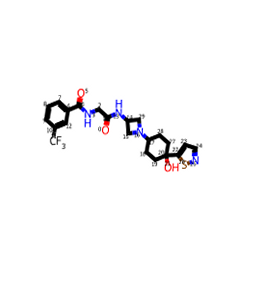 O=C(CNC(=O)c1cccc(C(F)(F)F)c1)NC1CN(C2CCC(O)(c3ccns3)CC2)C1